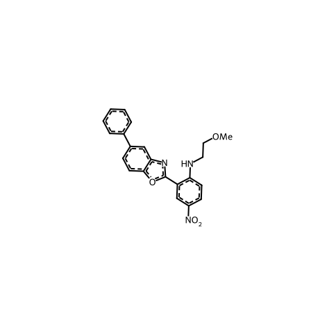 COCCNc1ccc([N+](=O)[O-])cc1-c1nc2cc(-c3ccccc3)ccc2o1